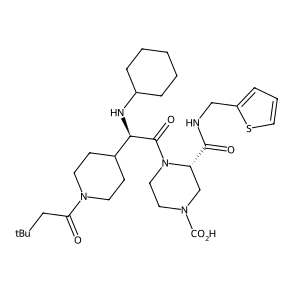 CC(C)(C)CC(=O)N1CCC([C@@H](NC2CCCCC2)C(=O)N2CCN(C(=O)O)C[C@H]2C(=O)NCc2cccs2)CC1